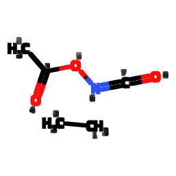 CC.CC(=O)ON=C=O